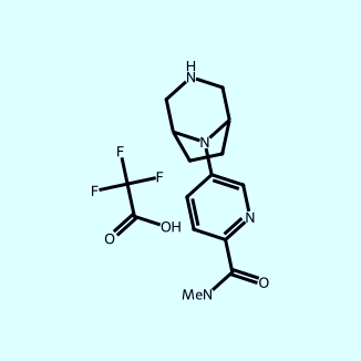 CNC(=O)c1ccc(N2C3CCC2CNC3)cn1.O=C(O)C(F)(F)F